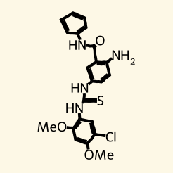 COc1cc(OC)c(NC(=S)Nc2ccc(N)c(C(=O)Nc3ccccc3)c2)cc1Cl